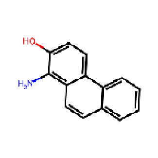 Nc1c(O)ccc2c1ccc1ccccc12